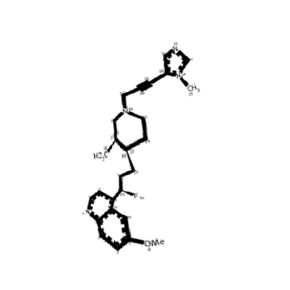 COc1ccc2nccc([C@H](F)CC[C@@H]3CCN(CC#Cc4cncn4C)C[C@@H]3C(=O)O)c2c1